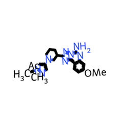 COc1ccc2c(c1)nc(N)n1nc(C3CCCN(c4cnn(C(C)(C)C(C)=O)c4)C3)nc21